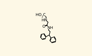 O=C(O)CNCC(=O)NCCC(c1ccccc1)c1ccccc1